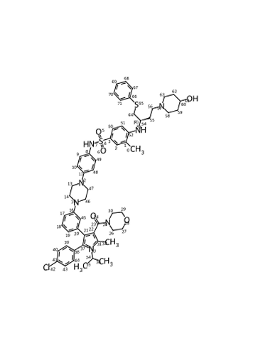 Cc1cc(S(=O)(=O)Nc2ccc(N3CCN(c4cccc(-c5c(C(=O)N6CCOCC6)c(C)n(C(C)C)c5-c5ccc(Cl)cc5)c4)CC3)cc2)ccc1N[C@H](CCN1CCC(O)CC1)CSc1ccccc1